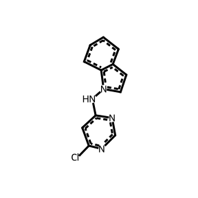 Clc1cc(Nn2ccc3ccccc32)ncn1